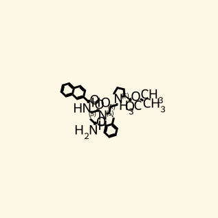 CC(C)(C)OC(=O)[C@@H]1CCCN1C[C@@H](O)[C@H](Cc1ccccc1)NC(=O)[C@H](CC(N)=O)NC(=O)c1ccc2ccccc2c1